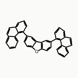 c1ccc2c(c1)ccc1cccc(-c3ccc4oc5ccc(-c6cccc7ccc8ccccc8c67)cc5c4c3)c12